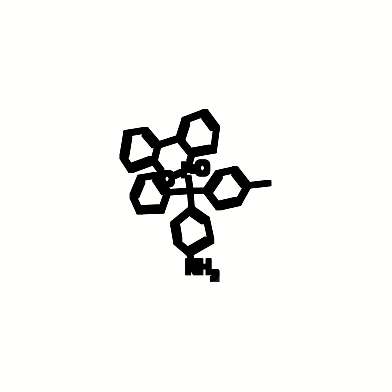 Cc1ccc(C(c2ccccc2)(c2ccc(N)cc2)P2(=O)Oc3ccccc3-c3ccccc32)cc1